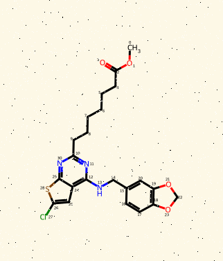 COC(=O)CCCCCCc1nc(NCc2ccc3c(c2)OCO3)c2cc(Cl)sc2n1